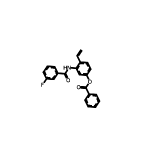 C=Cc1ccc(OC(=O)c2ccccc2)cc1NC(=O)c1cccc(F)c1